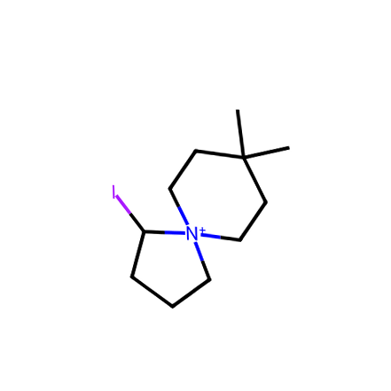 CC1(C)CC[N+]2(CCCC2I)CC1